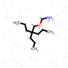 CCCC(CCC)(CCC)COCN